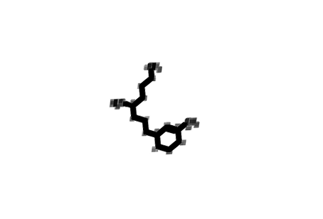 CCCC[C@H](C)CCCC1C=C(C)CCC1